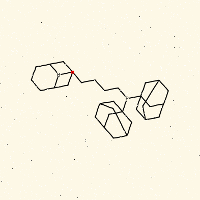 C(CCB1C2CCCC1CCC2)CCP(C12CC3CC(CC(C3)C1)C2)C12CC3CC(CC(C3)C1)C2